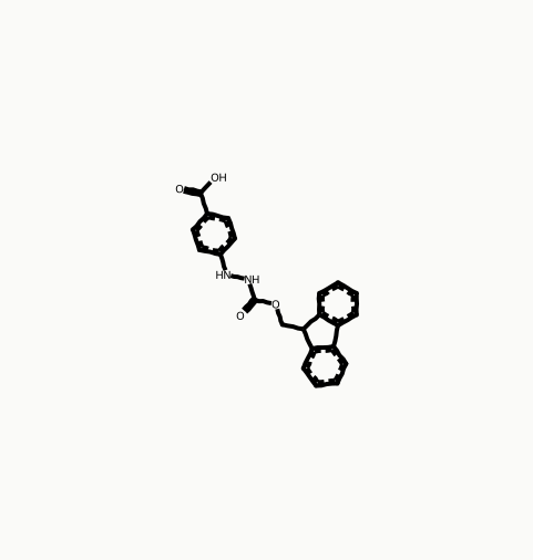 O=C(NNc1ccc(C(=O)O)cc1)OCC1c2ccccc2-c2ccccc21